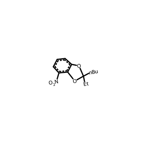 CCCCC1(CC)Oc2cccc([N+](=O)[O-])c2O1